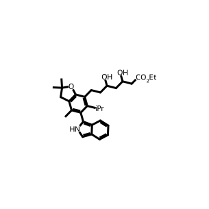 CCOC(=O)CC(O)CC(O)CCc1c2c(c(C)c(-c3[nH]cc4ccccc34)c1C(C)C)CC(C)(C)O2